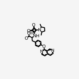 CC1CCC(C)N1c1c(NC(Cc2ccc(Oc3nccc4ccncc34)cc2)C(=O)O)c(=O)c1=O